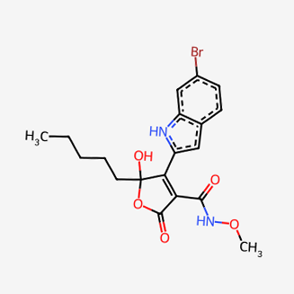 CCCCCC1(O)OC(=O)C(C(=O)NOC)=C1c1cc2ccc(Br)cc2[nH]1